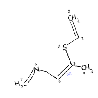 C=CS/C(C)=C\N=C